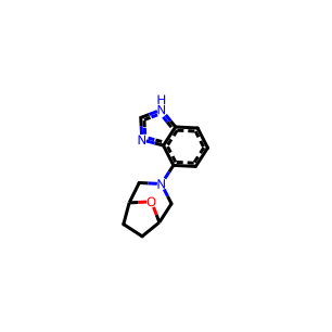 c1cc(N2CC3CCC(C2)O3)c2nc[nH]c2c1